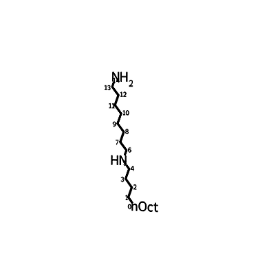 CCCCCCCCCCCCNCCCCCCCCN